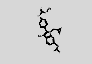 CC(C)OC(=O)Nc1ccc(-c2c(C#N)c3ccc(OC(F)F)cc3n2CC2CC2)cc1